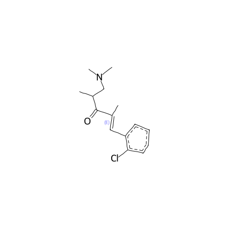 C/C(=C\c1ccccc1Cl)C(=O)C(C)CN(C)C